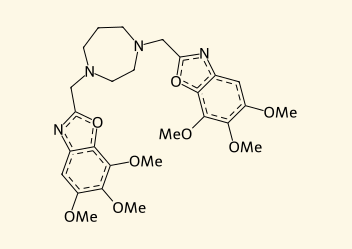 COc1cc2nc(CN3CCCN(Cc4nc5cc(OC)c(OC)c(OC)c5o4)CC3)oc2c(OC)c1OC